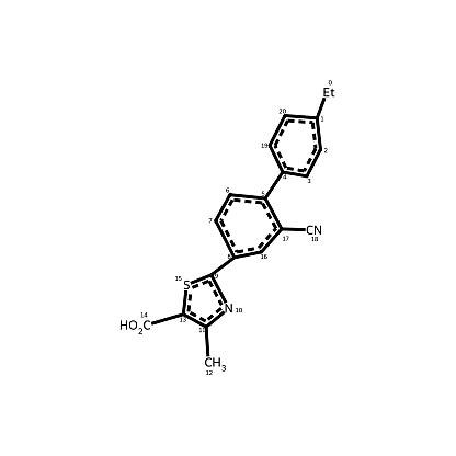 CCc1ccc(-c2ccc(-c3nc(C)c(C(=O)O)s3)cc2C#N)cc1